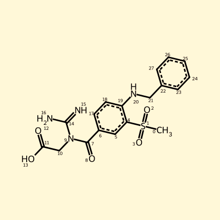 CS(=O)(=O)c1cc(C(=O)N(CC(=O)O)C(=N)N)ccc1NCc1ccccc1